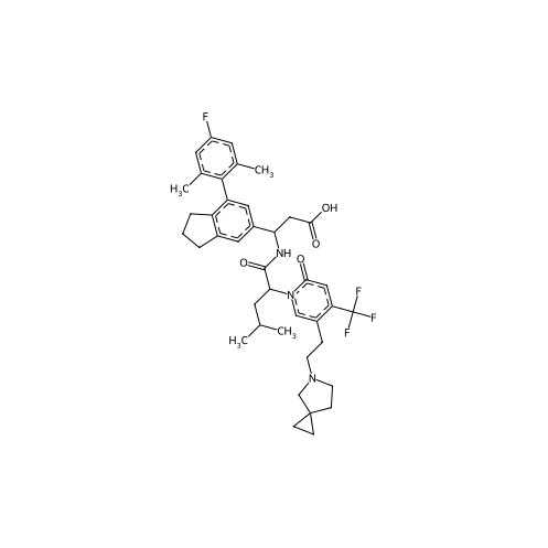 Cc1cc(F)cc(C)c1-c1cc(C(CC(=O)O)NC(=O)C(CC(C)C)n2cc(CCN3CCC4(CC4)C3)c(C(F)(F)F)cc2=O)cc2c1CCC2